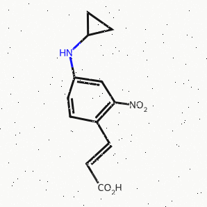 O=C(O)/C=C/c1ccc(NC2CC2)cc1[N+](=O)[O-]